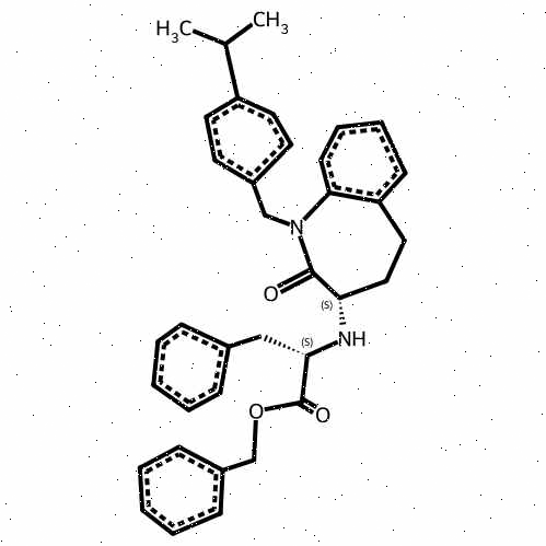 CC(C)c1ccc(CN2C(=O)[C@@H](N[C@@H](Cc3ccccc3)C(=O)OCc3ccccc3)CCc3ccccc32)cc1